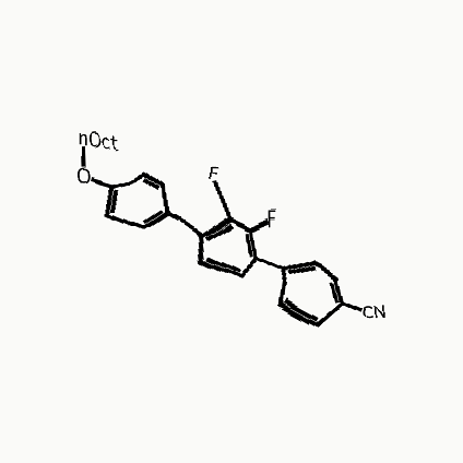 CCCCCCCCOc1ccc(-c2ccc(-c3ccc(C#N)cc3)c(F)c2F)cc1